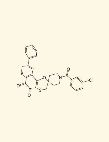 O=C1C(=O)c2ccc(-c3ccccc3)cc2C2=C1SCC1(CCN(C(=O)c3cccc(Cl)c3)CC1)O2